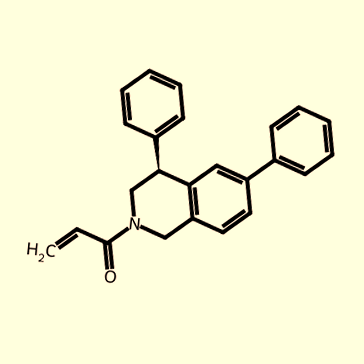 C=CC(=O)N1Cc2ccc(-c3ccccc3)cc2[C@H](c2ccccc2)C1